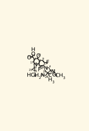 CON=C1CN(c2c(F)cc3c(=O)c(C(=O)O)cn(C4CC4)c3c2F)CC1(C)CN.Cl